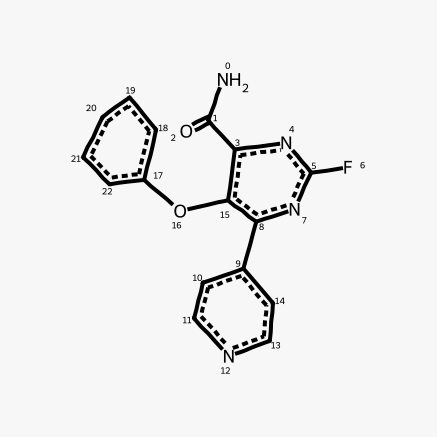 NC(=O)c1nc(F)nc(-c2ccncc2)c1Oc1ccccc1